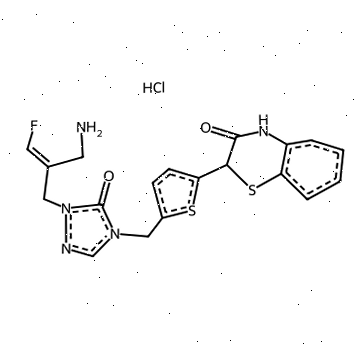 Cl.NC/C(=C\F)Cn1ncn(Cc2ccc(C3Sc4ccccc4NC3=O)s2)c1=O